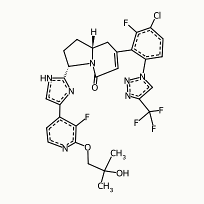 CC(C)(O)COc1nccc(-c2c[nH]c([C@@H]3CC[C@@H]4CC(c5c(-n6cc(C(F)(F)F)nn6)ccc(Cl)c5F)=CC(=O)N43)n2)c1F